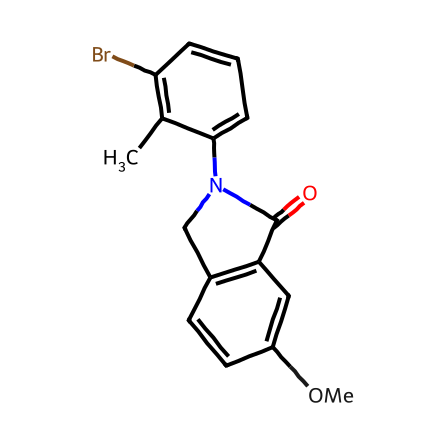 COc1ccc2c(c1)C(=O)N(c1cccc(Br)c1C)C2